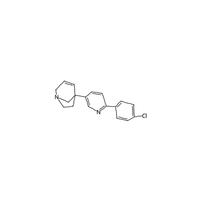 Clc1ccc(-c2ccc(C34C=CCN(CC3)C4)cn2)cc1